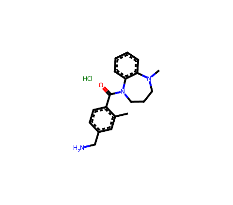 Cc1cc(CN)ccc1C(=O)N1CCCN(C)c2ccccc21.Cl